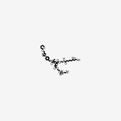 CCC(C)(CC(C)(CC(C)(C)C(=O)OCCOP(=O)([O-])OCC[N+](C)(C)C)C(=O)OCCNC(=O)CCCCC(S)CCS)C(=O)NCc1ccc(-n2cc(COC3CCCCO3)nn2)cc1